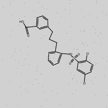 O=C(O)c1cccc(CCCc2ccccc2NS(=O)(=O)c2cc(Cl)ccc2Cl)c1